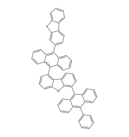 c1ccc(-c2c3ccccc3c(-c3cccc4c3oc3cccc(-c5c6ccccc6c(-c6ccc7c(c6)sc6ccccc67)c6ccccc56)c34)c3ccccc23)cc1